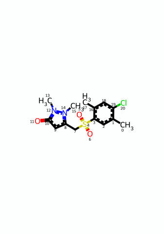 Cc1cc(S(=O)(=O)Cc2cc(=O)n(C)n2C)c(C)cc1Cl